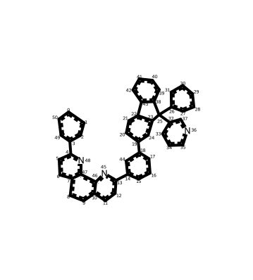 c1ccc(-c2ccc3ccc4ccc(-c5cccc(-c6ccc7c(c6)C(c6ccccc6)(c6cccnc6)c6ccccc6-7)c5)nc4c3n2)cc1